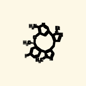 CCn1ncc2c1-c1cnc(N)c(c1)O[C@@H](C)c1cc(F)ccc1-c1c(cnn1C)C2